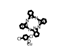 Clc1ccc(Cl)c([O][Cu])c1.c1ccc2c(c1)-c1nc-2nc2[nH]c(nc3nc(nc4[nH]c(n1)c1ccccc41)-c1ccccc1-3)c1ccccc21